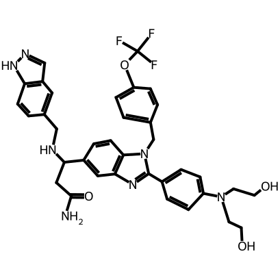 NC(=O)CC(NCc1ccc2[nH]ncc2c1)c1ccc2c(c1)nc(-c1ccc(N(CCO)CCO)cc1)n2Cc1ccc(OC(F)(F)F)cc1